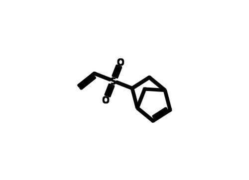 C=CS(=O)(=O)C1CC2C=CC1C2